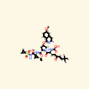 C=C[C@@H]1C[C@]1(NC(=O)[C@@H]1C[C@@H](Oc2nccc3cc(OC)ccc23)CN1C(=O)[C@H](CCC(=O)/C=C/C(C)(C)C)NC(=O)O)C(=O)NS(=O)(=O)C1CC1